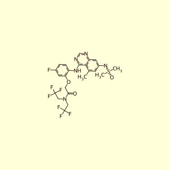 Cc1cc(N=S(C)(C)=O)cc2ncnc(Nc3ccc(F)cc3OCC(=O)N(CC(F)(F)F)CC(F)(F)F)c12